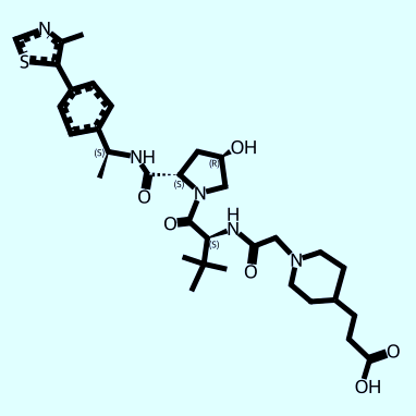 Cc1ncsc1-c1ccc([C@H](C)NC(=O)[C@@H]2C[C@@H](O)CN2C(=O)[C@@H](NC(=O)CN2CCC(CCC(=O)O)CC2)C(C)(C)C)cc1